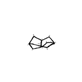 C1C2CC34CC1CC3(C2)C4